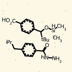 CC(C)Cc1ccc(C(=O)NN)cc1.C[SiH](C)OC(c1ccc(C(=O)O)cc1)C(C)(C)C